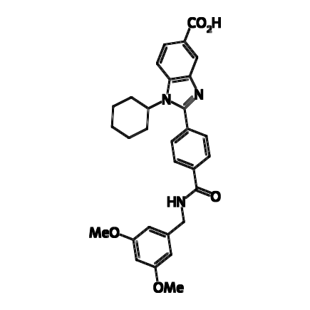 COc1cc(CNC(=O)c2ccc(-c3nc4cc(C(=O)O)ccc4n3C3CCCCC3)cc2)cc(OC)c1